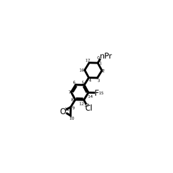 CCCC1CCC(c2ccc(C3CO3)c(Cl)c2F)CC1